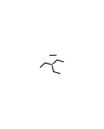 CC.CCN(CC)CC